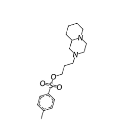 Cc1ccc(S(=O)(=O)OCCCN2CCN3CCCCC3C2)cc1